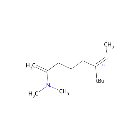 C=C(CCC/C(=C\C)C(C)(C)C)N(C)C